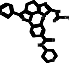 CC(=O)Nc1nc2c(s1)-c1c(c(-c3cccnc3)nn1-c1ccc(C(=O)NC3CCOCC3)cc1Cl)CC2